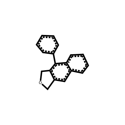 c1ccc(-c2c3c(cc4ccccc24)COC3)cc1